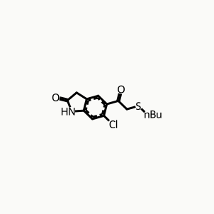 CCCCSCC(=O)c1cc2c(cc1Cl)NC(=O)C2